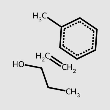 C=C.CCCO.Cc1ccccc1